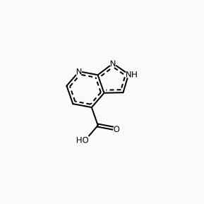 O=C(O)c1ccnc2n[nH]cc12